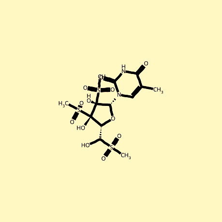 Cc1cn([C@@H]2O[C@H](C(O)S(C)(=O)=O)[C@](O)(S(C)(=O)=O)[C@]2(O)S(C)(=O)=O)c(=O)[nH]c1=O